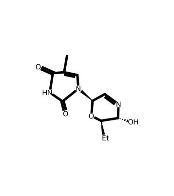 CC[C@H]1O[C@@H](n2cc(C)c(=O)[nH]c2=O)C=N[C@@H]1O